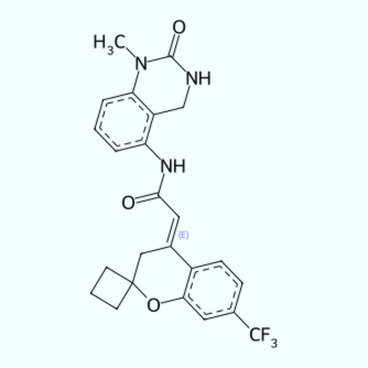 CN1C(=O)NCc2c(NC(=O)/C=C3\CC4(CCC4)Oc4cc(C(F)(F)F)ccc43)cccc21